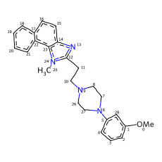 COc1cccc(N2CCN(CCc3nc4ccc5ccccc5c4n3C)CC2)c1